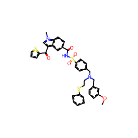 COc1cccc(CN(CCSc2ccccc2)Cc2ccc(S(=O)(=O)NC(=O)c3ccc4c(c3)c(C(=O)c3cccs3)cn4C)cc2)c1